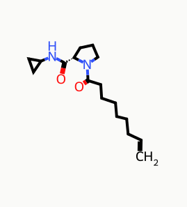 C=CCCCCCCC(=O)N1CCC[C@H]1C(=O)NC1CC1